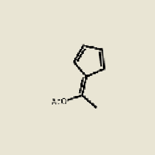 CC(=O)OC(C)=C1C=CC=C1